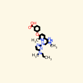 CCCN(C)c1ccnc(NCc2c(-c3ccc(O[C@H]4CCC[C@H](C(=O)O)C4)c(C)n3)nnn2C)n1